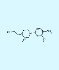 COc1cc(N2CCN(CCO)[C@H](C)C2)ccc1N